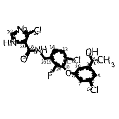 C[C@@H](O)c1cc(Cl)cc(Oc2c(Cl)ccc(CNC(=O)c3[nH]cnc3Cl)c2F)c1